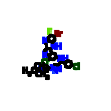 CC(C)(C)N1CCC(n2cc(C(Nc3cc(Cl)c4ncc(C#N)c(Nc5ccc(F)c(Br)c5)c4c3)c3ccc(Cl)cc3)nn2)CC1